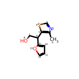 Cc1ncsc1C(CO)c1ccco1